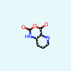 O=c1[nH]c2cccnc2c(=O)o1